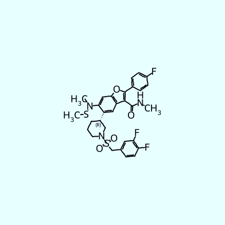 CNC(=O)c1c(-c2ccc(F)cc2)oc2cc(N(C)SC)c([C@H]3CCCN(S(=O)(=O)Cc4ccc(F)c(F)c4)C3)cc12